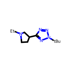 CCN1CCC(c2nnn(C(C)(C)C)n2)C1